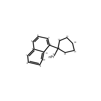 [CH2]CCC1(c2cccc3ccccc23)CCCCC1